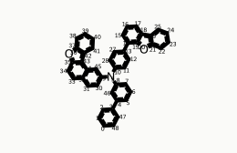 c1ccc(-c2cccc(N(c3ccc(-c4cccc5c4oc4ccccc45)cc3)c3ccc4ccc5oc6ccccc6c5c4c3)c2)cc1